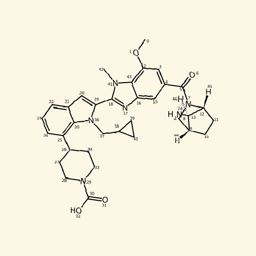 COc1cc(C(=O)N2C[C@H]3CC[C@@H]2[C@@H]3N)cc2nc(-c3cc4cccc(C5CCN(C(=O)O)CC5)c4n3CC3CC3)n(C)c12